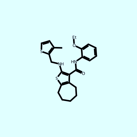 CCOc1ccccc1NC(=O)c1c(NCc2sccc2C)sc2c1CCCCC2